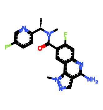 C[C@@H](c1ccc(F)cn1)N(C)C(=O)c1cc2c(cc1F)nc(N)c1cnn(C)c12